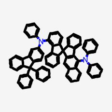 c1ccc(N(c2ccc3c(c2)-c2ccccc2C3(c2ccccc2)c2ccccc2)c2cccc3c2-c2ccccc2C32c3ccccc3-c3c2cc2ccccc2c3N(c2ccccc2)c2ccccc2)cc1